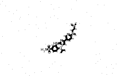 CC(C)Oc1ccc(S(N)(=O)=O)cc1Nc1nc(-c2ccc(N(C)CCN(C)C)nc2)cs1